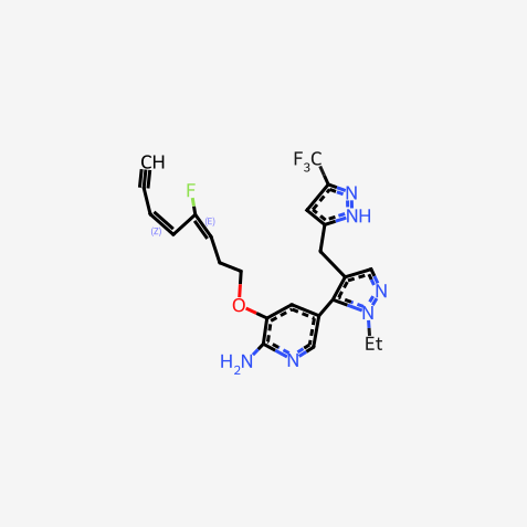 C#C/C=C\C(F)=C/CCOc1cc(-c2c(Cc3cc(C(F)(F)F)n[nH]3)cnn2CC)cnc1N